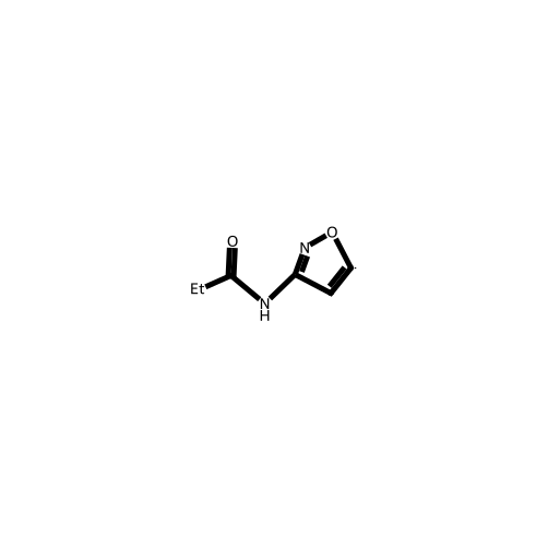 CCC(=O)Nc1c[c]on1